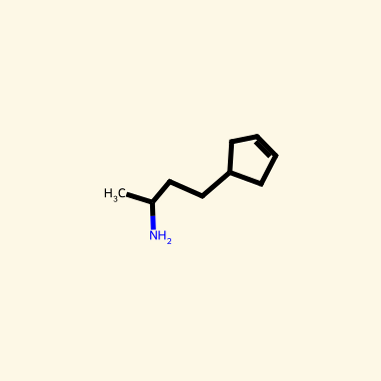 CC(N)CCC1CC=CC1